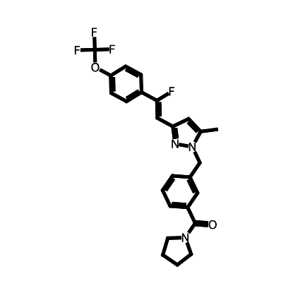 Cc1cc(C=C(F)c2ccc(OC(F)(F)F)cc2)nn1Cc1cccc(C(=O)N2CCCC2)c1